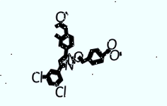 COC(=O)c1ccc(COn2nc(-c3cc(Cl)cc(Cl)c3)cc2-c2ccc(/C=C(\C)OC)c(C)c2)cc1